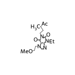 CCn1c(=O)n(CCC(C)C(C)=O)c(=O)c2c1ncn2CCOC